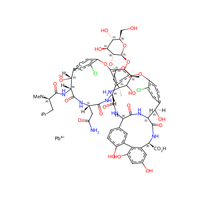 CN[C@H](CC(C)C)C(=O)N[C@H]1C(=O)N[C@@H](CC(N)=O)C(=O)N[C@H]2C(=O)N[C@H]3C(=O)N[C@H](C(=O)N[C@@H](C(=O)O)c4cc(O)cc(O)c4-c4cc3ccc4O)[C@H](O)c3ccc(c(Cl)c3)Oc3cc2cc(c3O[C@@H]2O[C@H](CO)[C@@H](O)[C@H](O)[C@H]2O[C@H]2C[C@](C)(N)C(O)[C@H](C)O2)Oc2ccc(cc2Cl)[C@H]1O.[Pb+4]